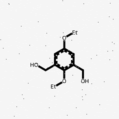 CCOc1cc(CO)c(OCC)c(CO)c1